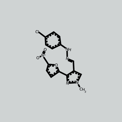 Cn1cc(/C=N/Nc2ccc(Cl)cc2)c(-c2ccc([N+](=O)[O-])o2)n1